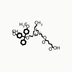 CCCN1CN(CCOC(=O)CCCC(=O)O)CN(CCOC(c2ccccc2)(c2ccc(OC)cc2)c2ccc(OC)cc2)C1